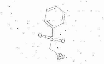 CCC(C)CS(=O)(=O)c1ccccc1